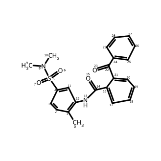 Cc1ccc(S(=O)(=O)N(C)C)cc1NC(=O)c1ccccc1C(=O)c1ccccc1